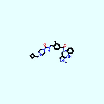 Cc1cc(C(=O)N2Cc3cnn(C)c3Nc3ccccc32)ccc1CNC(=O)N1CCN(CC2CCC2)CC1